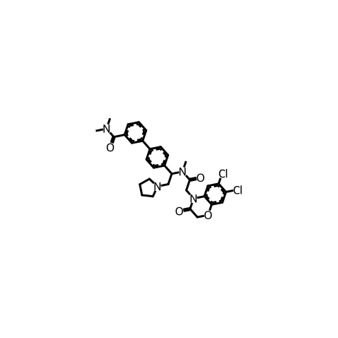 CN(C)C(=O)c1cccc(-c2ccc(C(CN3CCCC3)N(C)C(=O)CN3C(=O)COc4cc(Cl)c(Cl)cc43)cc2)c1